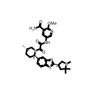 COc1ncc(NC(=O)C(=O)N2C[C@@H](C)CC[C@@H]2c2ccc3sc([C@H]4CN(C)C(C)(C)C4)nc3c2)cc1C(N)=O